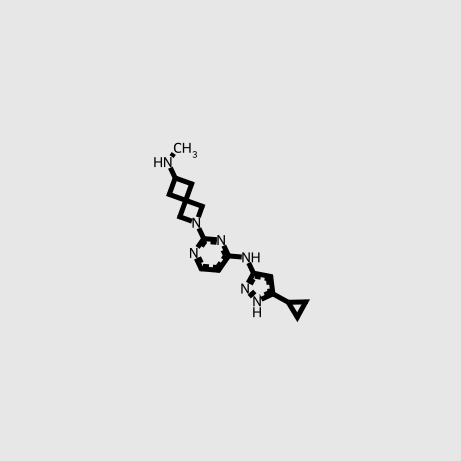 CNC1CC2(C1)CN(c1nccc(Nc3cc(C4CC4)[nH]n3)n1)C2